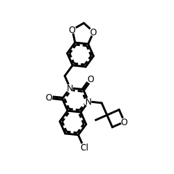 CC1(Cn2c(=O)n(Cc3ccc4c(c3)OCO4)c(=O)c3ccc(Cl)cc32)COC1